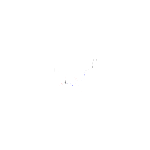 CC(C)CCNS(=O)(=O)NC(=O)OC(C)(C)C